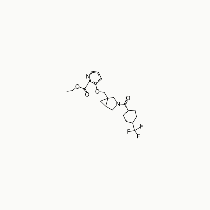 CCOC(=O)c1ncccc1OCC12CC1CN(C(=O)C1CCC(C(F)(F)F)CC1)C2